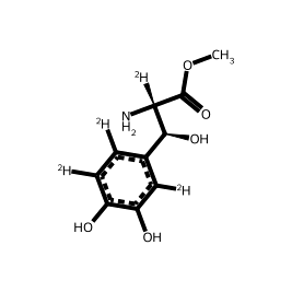 [2H]c1c([2H])c([C@H](O)[C@]([2H])(N)C(=O)OC)c([2H])c(O)c1O